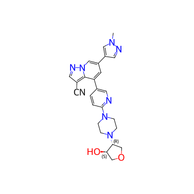 Cn1cc(-c2cc(-c3ccc(N4CCN([C@@H]5COC[C@H]5O)CC4)nc3)c3c(C#N)cnn3c2)cn1